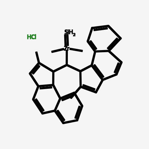 CC1=Cc2ccc3ccccc3c2C1[CH](C1C(C)=Cc2ccc3ccccc3c21)[Zr]([CH3])([CH3])=[SiH2].Cl